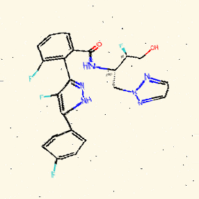 O=C(N[C@@H](Cn1nccn1)[C@@H](F)CO)c1cccc(F)c1-c1n[nH]c(-c2ccc(F)cc2)c1F